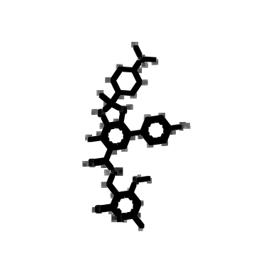 CSc1cc(C)[nH]c(=O)c1CNC(=O)c1cc(-c2ccc(F)cc2)c2c(c1C)OC(C)(C1CCC(N(C)C)CC1)O2